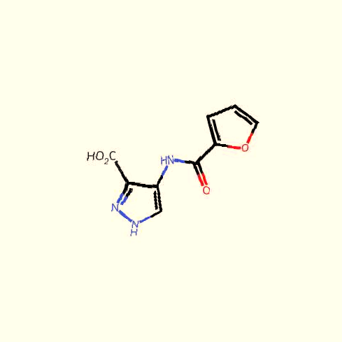 O=C(Nc1c[nH]nc1C(=O)O)c1ccco1